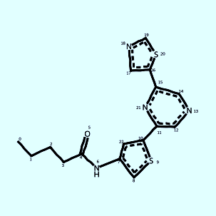 CCCCC(=O)Nc1csc(-c2cncc(-c3cncs3)n2)c1